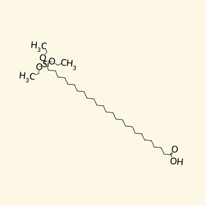 CCO[Si](CCCCCCCCCCCCCCCCCCCCCCCCCC(=O)O)(OCC)OCC